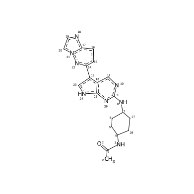 CC(=O)NC1CCC(Nc2ncc3c(-c4ccc5nccn5n4)c[nH]c3n2)CC1